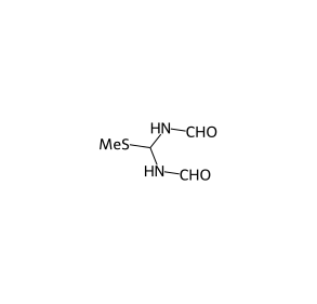 CSC(NC=O)NC=O